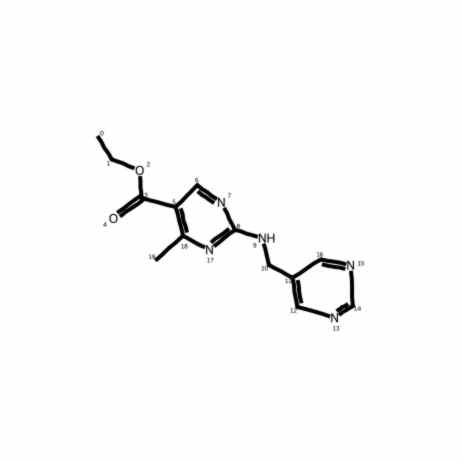 CCOC(=O)c1cnc(NCc2cncnc2)nc1C